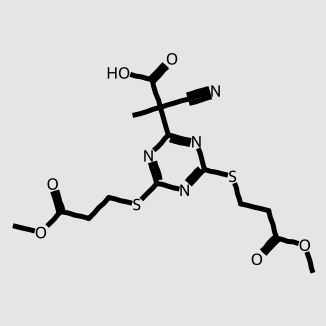 COC(=O)CCSc1nc(SCCC(=O)OC)nc(C(C)(C#N)C(=O)O)n1